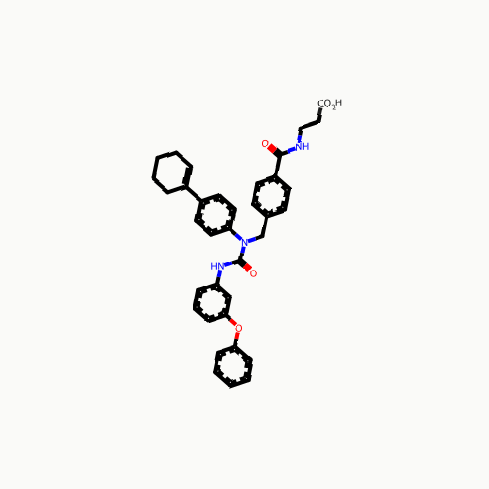 O=C(O)CCNC(=O)c1ccc(CN(C(=O)Nc2cccc(Oc3ccccc3)c2)c2ccc(C3=CCCCC3)cc2)cc1